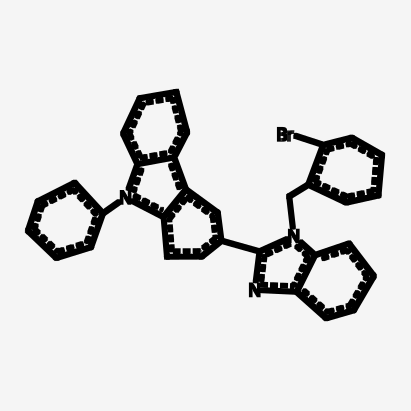 Brc1ccccc1Cn1c(-c2ccc3c(c2)c2ccccc2n3-c2ccccc2)nc2ccccc21